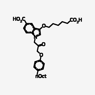 CCCCCCCCc1ccc(OCC(=O)Cn2cc(OCCCCCC(=O)O)c3cc(C(=O)O)ccc32)cc1